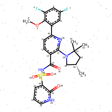 COc1c(F)cc(F)cc1-c1ccc(C(=O)NS(=O)(=O)c2ccc[nH]c2=O)c(N2C[C@@H](C)CC2(C)C)n1